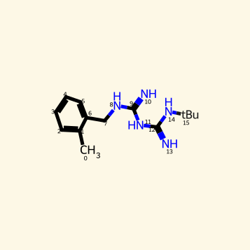 Cc1ccccc1CNC(=N)NC(=N)NC(C)(C)C